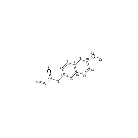 C=CC(=O)Cc1ccc2cc(OC)ccc2c1